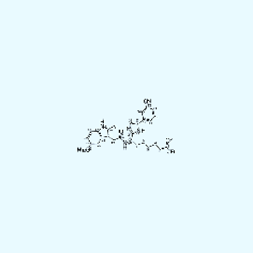 CCC(=O)CCCCC[C@H](NC(=O)Cc1c(C)[nH]c2ccc(OC)cc12)c1ncc(-c2cccc(C#N)c2)[nH]1